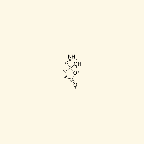 NCC1(O)C=CC(=O)O1